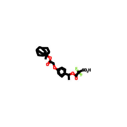 CC(OC(=O)C(F)(F)S(=O)(=O)O)c1ccc(OCC(=O)OC2(C)C3CC4CC(C3)CC2C4)cc1